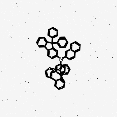 c1cccc(C2(c3ccccc3)c3ccccc3-c3ccc(N(c4ccc5c(c4)-c4c6cccc4-c4cccc-5c4-c4ccccc4-6)c4ccc5ccccc5c4)cc32)c#1